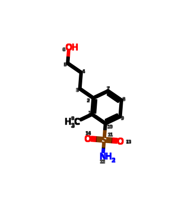 Cc1c(CCCO)cccc1S(N)(=O)=O